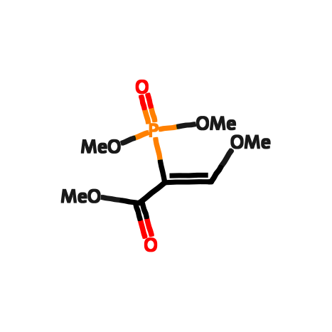 COC=C(C(=O)OC)P(=O)(OC)OC